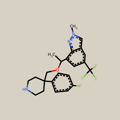 CC(OCC1(c2ccc(F)cc2)CCNCC1)c1cc(C(F)(F)F)cc2cn(C)nc12